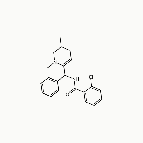 CC1CC=C(C(NC(=O)c2ccccc2Cl)c2ccccc2)N(C)C1